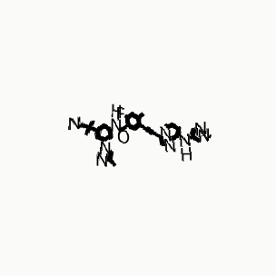 Cc1cn(-c2cc(NC(=O)c3cc(C#Cc4cnc5c(Nc6cnn(C)c6)cccn45)c(C)cc3F)cc(C(C)(C)C#N)c2)cn1